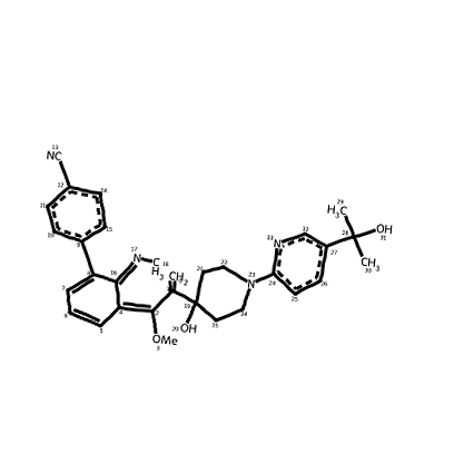 C=C(/C(OC)=C1/C=CC=C(c2ccc(C#N)cc2)/C1=N/C)C1(O)CCN(c2ccc(C(C)(C)O)cn2)CC1